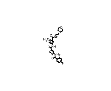 Cn1cc(NC(=O)c2cc(NC(=O)c3ccc(F)cc3F)no2)cc1C(=O)NCCN1CCOCC1